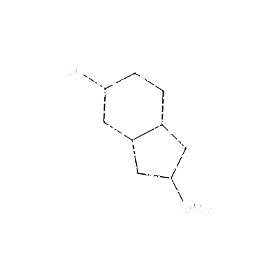 CCC1CCC2CC(OC)CC2C1